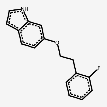 Fc1ccccc1CCOc1ccc2cc[nH]c2c1